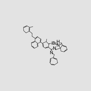 CC[C@H](C)C1C(C(=N/CC2=CCC=CC=C2)/N=C/C2(N)CC=CC=C2C)=CC=C(c2ccc(CCC3=C(C)C=CCC3)c3ccccc23)C1C